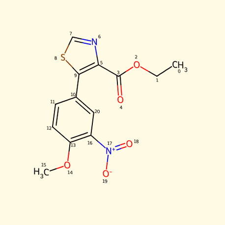 CCOC(=O)c1ncsc1-c1ccc(OC)c([N+](=O)[O-])c1